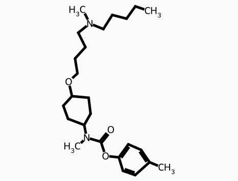 CCCCCN(C)CCCCOC1CCC(N(C)C(=O)Oc2ccc(C)cc2)CC1